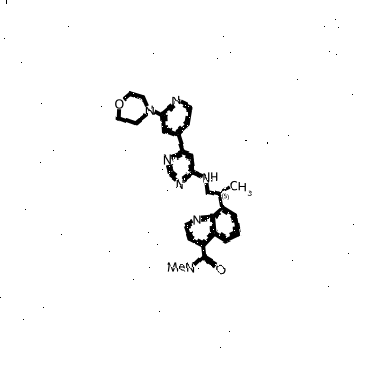 CNC(=O)c1ccnc2c([C@H](C)CNc3cc(-c4ccnc(N5CCOCC5)c4)ncn3)cccc12